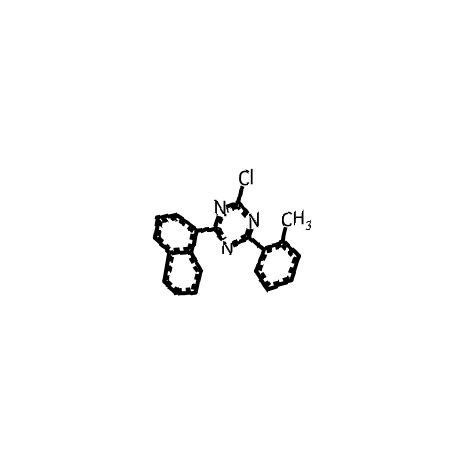 Cc1ccccc1-c1nc(Cl)nc(-c2cccc3ccccc23)n1